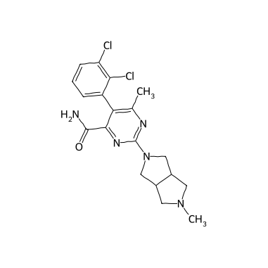 Cc1nc(N2CC3CN(C)CC3C2)nc(C(N)=O)c1-c1cccc(Cl)c1Cl